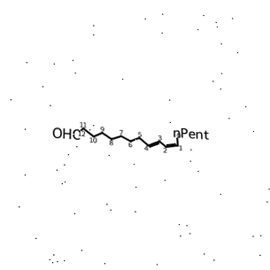 CCCCC/C=C\C=C\CCCCCCCC=O